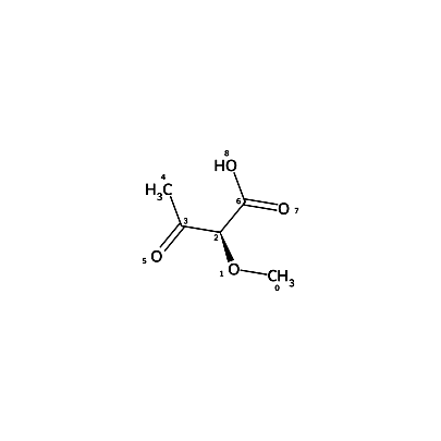 CO[C@@H](C(C)=O)C(=O)O